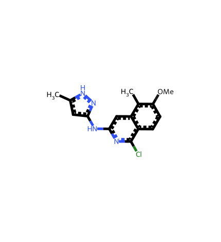 COc1ccc2c(Cl)nc(Nc3cc(C)[nH]n3)cc2c1C